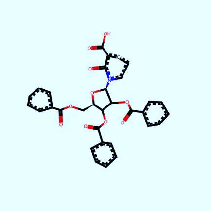 O=C(OC[C@H]1O[C@@H](n2cccc(C(=O)O)c2=O)C(OC(=O)c2ccccc2)C1OC(=O)c1ccccc1)c1ccccc1